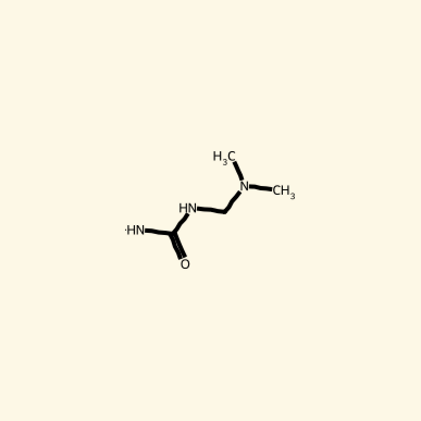 CN(C)CNC([NH])=O